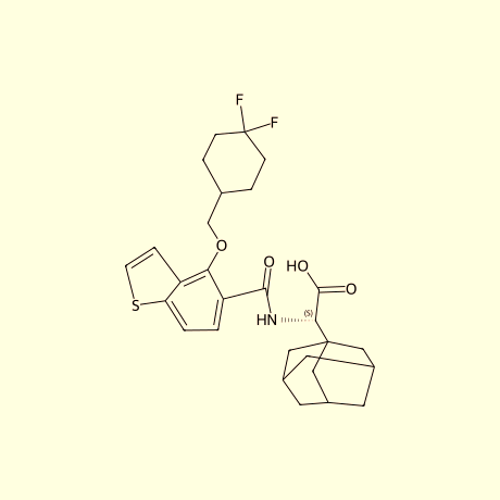 O=C(N[C@H](C(=O)O)C12CC3CC(CC(C3)C1)C2)c1ccc2sccc2c1OCC1CCC(F)(F)CC1